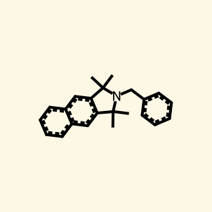 CC1(C)c2cc3ccccc3cc2C(C)(C)N1Cc1ccccc1